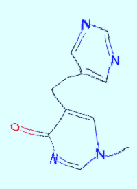 Cn1cnc(=O)c(Cc2cncnc2)c1